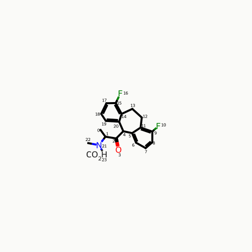 CC(C(=O)C1c2cccc(F)c2CCc2c(F)cccc21)N(C)C(=O)O